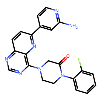 Nc1cc(-c2ccc3ncnc(N4CCN(c5ccccc5F)C(=O)C4)c3n2)ccn1